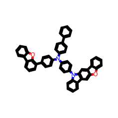 c1ccc(-c2ccc(N(c3ccc(-c4cccc5c4oc4ccccc45)cc3)c3ccc(-n4c5ccccc5c5cc6oc7ccccc7c6cc54)cc3)cc2)cc1